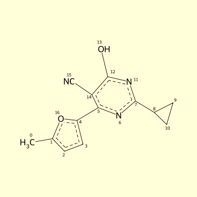 Cc1ccc(-c2nc(C3CC3)nc(O)c2C#N)o1